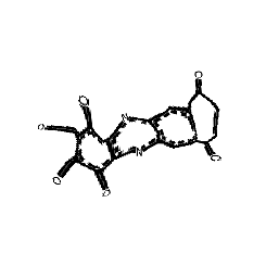 O=C1C=CC(=O)c2cc3nc4c(=O)c(=O)c(=O)c(=O)c4nc3cc21